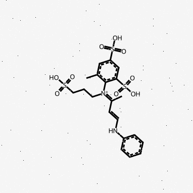 CC(/C=C/Nc1ccccc1)=[N+](/CCCS(=O)(=O)O)c1c(C)cc(S(=O)(=O)O)cc1S(=O)(=O)O